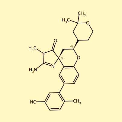 Cc1ccc(C#N)cc1-c1ccc2c(c1)[C@]1(C[C@@H](C3CCOC(C)(C)C3)O2)N=C(N)N(C)C1=O